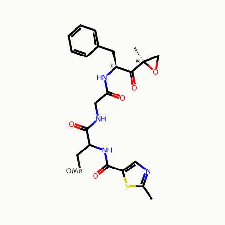 COCC(NC(=O)c1cnc(C)s1)C(=O)NCC(=O)N[C@@H](Cc1ccccc1)C(=O)[C@@]1(C)CO1